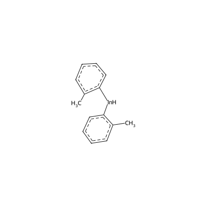 Cc1cccc[c]1[InH][c]1ccccc1C